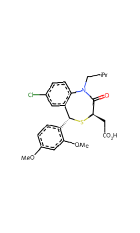 COc1ccc([C@H]2S[C@H](CC(=O)O)C(=O)N(CC(C)C)c3ccc(Cl)cc32)c(OC)c1